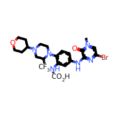 Cn1cc(Br)nc(Nc2ccc(N3CCN(C4CCOCC4)CC3C(F)(F)F)c(NC(=O)O)c2)c1=O